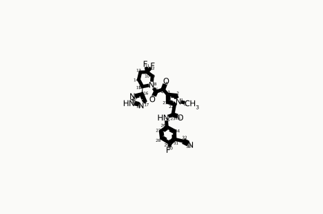 Cn1cc(C(=O)C(=O)N2CC(F)(F)CC[C@H]2c2cn[nH]n2)cc1C(=O)Nc1ccc(F)c(C#N)c1